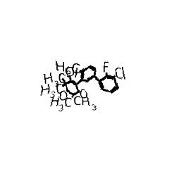 Cc1ccc(-c2cccc(Cl)c2F)cc1C1=C(O)C(C)(C)C(=O)C(C)(C)C1=O